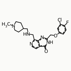 CN1CCC(CNCc2nccc3c(=O)[nH]c(COc4ccc(F)c(Cl)c4)nc23)CC1